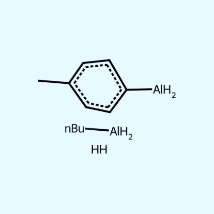 CCC[CH2][AlH2].Cc1cc[c]([AlH2])cc1.[HH]